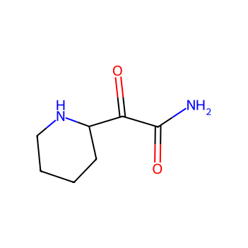 NC(=O)C(=O)C1CCCCN1